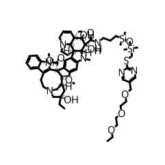 CCOCCOCCOCc1cnc(SC[Si](C)(C)O[Si](C)(C)CCCNC(=O)[C@@]2(O)[C@H](O)[C@]3(CC)C=CCN4CC[C@@]5(c6cc([C@]7(C(=O)OC)c8[nH]c9ccccc9c8CCN8C[C@H](C[C@@](O)(CC)C8)[C@@H]7C)c(OC)cc6N(C)[C@@H]25)[C@@H]43)nc1